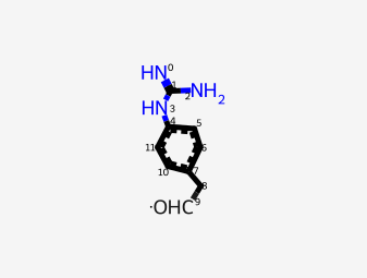 N=C(N)Nc1ccc(C[C]=O)cc1